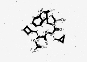 N#C[C@@H]1C[C@@]2(CN1C(=O)[C@H](CC1CC1)NC(=O)[C@H](CC1CCC1)NC(=O)C(F)(F)F)C(=O)Nc1ccccc12